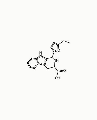 CCc1ccc(C2NC(C(=O)O)Cc3c2[nH]c2ccccc32)o1